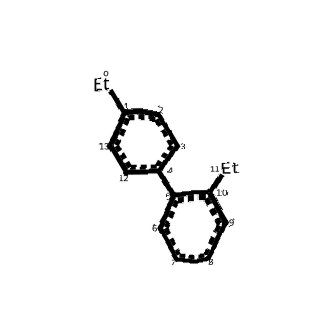 CCc1ccc(-c2[c]cccc2CC)cc1